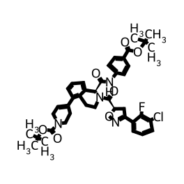 CC(C)(C)OC(=O)c1ccc(NC(=O)[C@@H]2c3cccc(C4=CCN(C(=O)OC(C)(C)C)CC4)c3CCN2C(=O)[C@H]2CC(c3cccc(Cl)c3F)=NO2)cc1